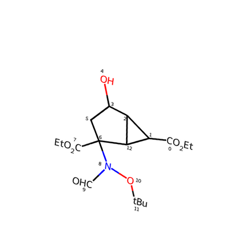 CCOC(=O)C1C2C(O)CC(C(=O)OCC)(N(C=O)OC(C)(C)C)C12